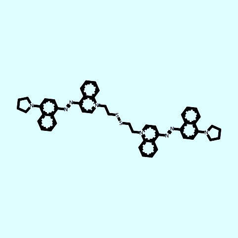 c1ccc2c(N3CCCC3)ccc(/N=N/c3cc[n+](CCSSCC[n+]4ccc(/N=N/c5ccc(N6CCCC6)c6ccccc56)c5ccccc54)c4ccccc34)c2c1